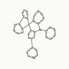 c1ccc(N2c3ccccc3C3(c4ccccc4-c4ccccc43)c3ccc(-c4ccncc4)cc32)cc1